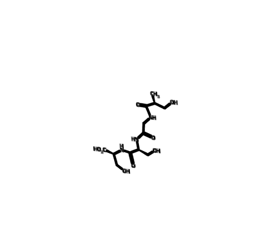 C[C@@H](CO)C(=O)NCC(=O)N[C@@H](CO)C(=O)N[C@@H](CO)C(=O)O